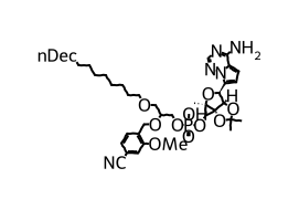 CCCCCCCCCCCCCCCCCCOCC(COP(=O)(O)OC1[C@@]2(C)O[C@@H](c3ccc4c(N)ncnn34)[C@@H]3OC(C)(C)O[C@@]132)OCc1ccc(C#N)cc1OC